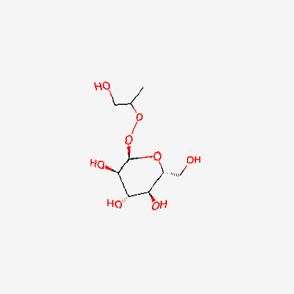 CC(CO)OO[C@H]1O[C@H](CO)[C@@H](O)[C@H](O)[C@H]1O